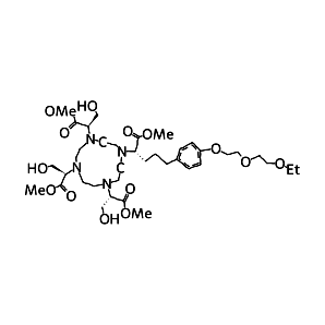 CCOCCOCCOc1ccc(CCC[C@@H](C(=O)OC)N2CCN([C@H](CO)C(=O)OC)CCN([C@H](CO)C(=O)OC)CCN([C@@H](CO)C(=O)OC)CC2)cc1